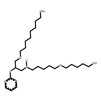 CCCCCCCCCCCCCCCCCCOCC(C[S+]([O-])CCCCCOCCCCCO)Oc1ncccn1